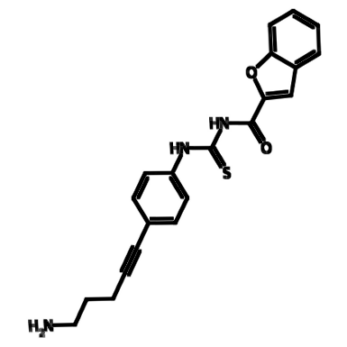 NCCCC#Cc1ccc(NC(=S)NC(=O)c2cc3ccccc3o2)cc1